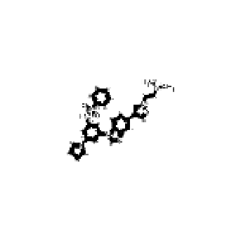 CN(C)CCn1cc(-c2ccc3c(c2)ncn3-c2cc(NS(=O)(=O)c3ccccc3)cc(-n3cccc3)c2)cn1